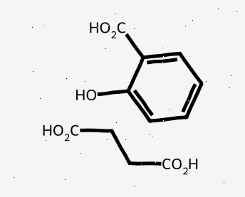 O=C(O)CCC(=O)O.O=C(O)c1ccccc1O